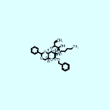 C=CC(O[C@H]1[C@@H]2OC(c3ccccc3)OC[C@H]2O[C@H](OCc2ccccc2)[C@@]1(O)NCCCCC)C(=O)O